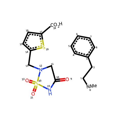 CNCCc1ccccc1.O=C1CN(Cc2ccc(C(=O)O)s2)S(=O)(=O)N1